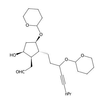 CCCC#CC(CC[C@@H]1[C@@H](CC=O)[C@@H](O)C[C@H]1OC1CCCCO1)OC1CCCCO1